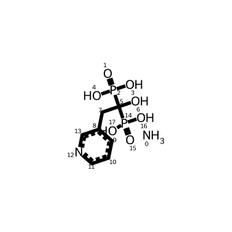 N.O=P(O)(O)C(O)(Cc1cccnc1)P(=O)(O)O